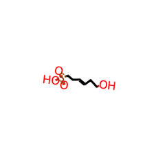 O=S(=O)(O)CC/C=C/CCO